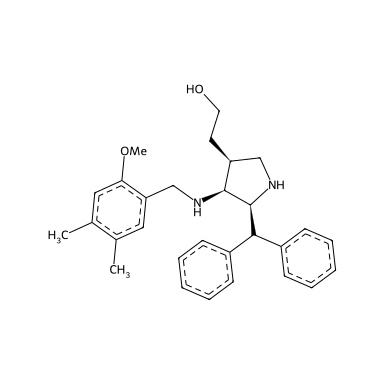 COc1cc(C)c(C)cc1CN[C@H]1[C@@H](CCO)CN[C@H]1C(c1ccccc1)c1ccccc1